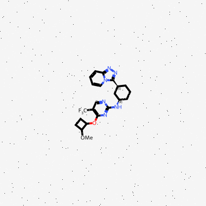 COC1CCC1Oc1nc(N[C@@H]2CCC[C@H](c3nnc4ccccn34)C2)ncc1C(F)(F)F